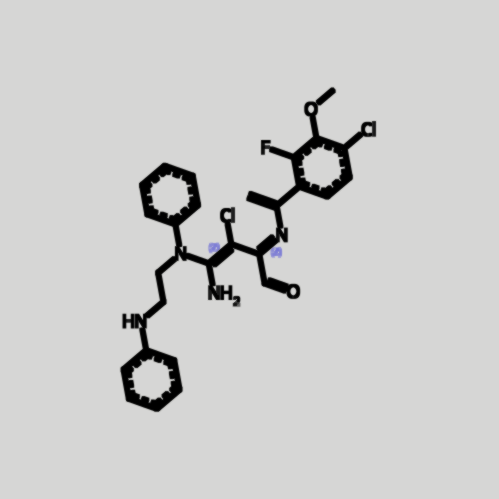 C=C(/N=C(C=O)\C(Cl)=C(/N)N(CCNc1ccccc1)c1ccccc1)c1ccc(Cl)c(OC)c1F